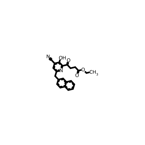 CCOC(=O)CCC(=O)c1nc(Cc2ccc3ccccc3c2)cc(C#N)c1O